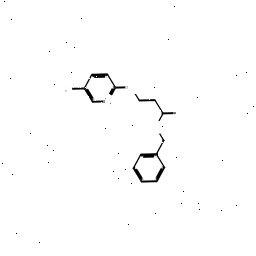 CC(CCOc1ccc(Br)cn1)OCc1ccccc1